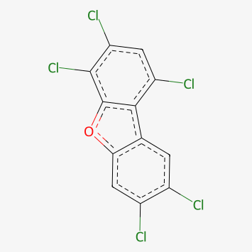 Clc1cc2oc3c(Cl)c(Cl)cc(Cl)c3c2cc1Cl